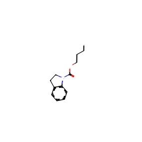 CCCCOC(=O)N1CCc2ccccc21